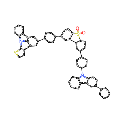 O=S1(=O)c2ccc(-c3ccc(-c4cc5c6ccccc6n6c7sccc7c(c4)c56)cc3)cc2-c2cc(-c3ccc(-n4c5ccccc5c5cc(-c6ccccc6)ccc54)cc3)ccc21